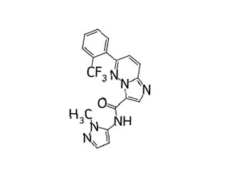 Cn1nccc1NC(=O)c1cnc2ccc(-c3ccccc3C(F)(F)F)nn12